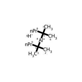 CCC[C](C)(C)[Al+][C](C)(C)CCC.[H-]